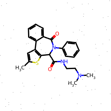 Cc1cc2c(s1)C(C(=O)NCCN(C)C)N(c1ccccc1)C(=O)c1ccccc1-2